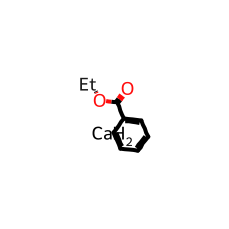 CCOC(=O)c1ccccc1.[CaH2]